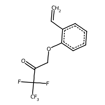 C=Cc1ccccc1OCC(=O)C(F)(F)C(F)(F)F